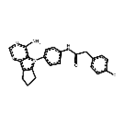 Nc1ncnc2c3c(n(-c4ccc(NC(=O)Cc5ccc(F)cc5)cc4)c12)CCC3